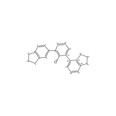 Clc1c(-c2ccc3c(c2)CCC3)cccc1-c1cccc2c1CCC2